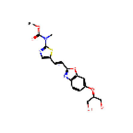 CN(C(=O)OC(C)(C)C)c1ncc(/C=C/c2nc3ccc(OC(CO)CO)cc3o2)s1